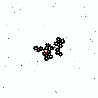 CC1(C)CC(C)(c2cccc(N(c3ccc4c(c3)C(C)(C)c3ccccc3-4)c3ccc4c(c3)C3(c5ccccc5-c5ccccc53)c3ccccc3-4)c2)c2ccc(N(c3ccc4c(c3)C(C)(C)c3ccccc3-4)c3ccc4c(c3)C3(c5ccccc5-c5ccccc53)c3ccccc3-4)cc21